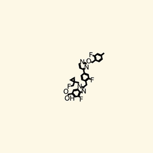 Cc1ccc(COc2nccc(-c3ccc(Cc4nc5c(F)cc(C(=O)O)cc5n4CC4(CF)CC4)c(F)c3)n2)c(F)c1